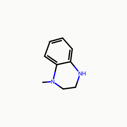 CN1CCNc2cc[c]cc21